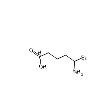 CCC(N)CCC[PH](=O)O